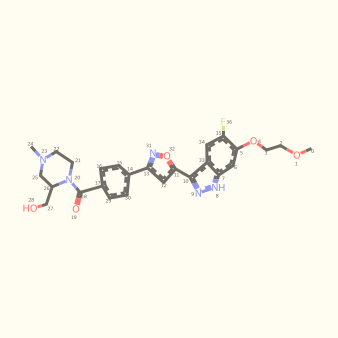 COCCOc1cc2[nH]nc(-c3cc(-c4ccc(C(=O)N5CCN(C)CC5CO)cc4)no3)c2cc1F